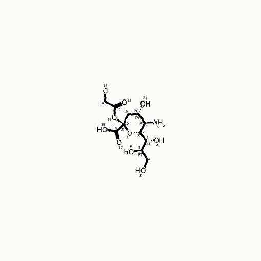 N[C@H]1[C@H]([C@H](O)[C@H](O)CO)O[C@](OC(=O)CCl)(C(=O)O)C[C@@H]1O